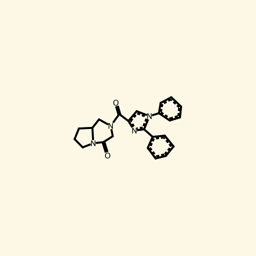 O=C(c1cn(-c2ccccc2)c(-c2ccccc2)n1)N1CC(=O)N2CCCC2C1